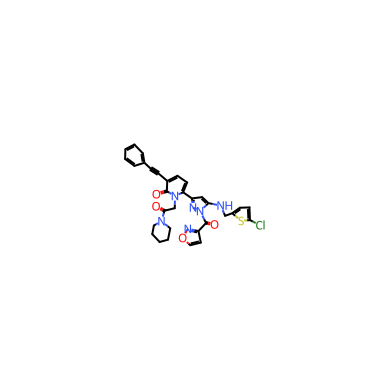 O=C(Cn1c(-c2cc(NCc3ccc(Cl)s3)n(C(=O)c3ccon3)n2)ccc(C#Cc2ccccc2)c1=O)N1CCCCC1